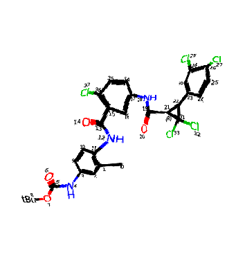 Cc1cc(NC(=O)OC(C)(C)C)ccc1NC(=O)c1cc(NC(=O)[C@H]2C(c3ccc(Cl)c(Cl)c3)C2(Cl)Cl)ccc1Cl